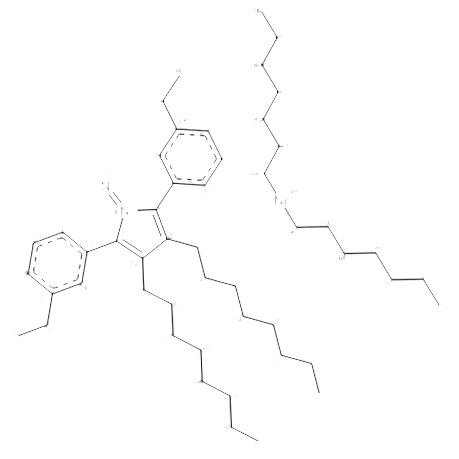 CCCCCCCCC1=C(c2cccc(CC)c2)[N+](=[N-])C(c2cccc(CC)c2)=C1CCCCCCCC.CCCCCC[CH2][Ni][CH2]CCCCCC